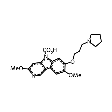 COc1cc2c(cn1)c1cc(OC)c(OCCCN3CCCC3)cc1n2C(=O)O